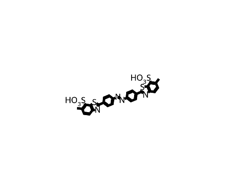 Cc1ccc2nc(-c3ccc(N=Nc4ccc(-c5nc6ccc(C)c(S(=O)(=O)O)c6s5)cc4)cc3)sc2c1S(=O)(=O)O